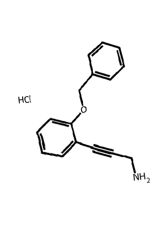 Cl.NCC#Cc1ccccc1OCc1ccccc1